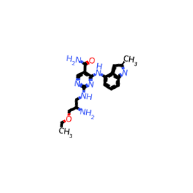 CCOCC(N)CNc1ncc(C(N)=O)c(Nc2cccc3c2=C[C@@H](C)N=3)n1